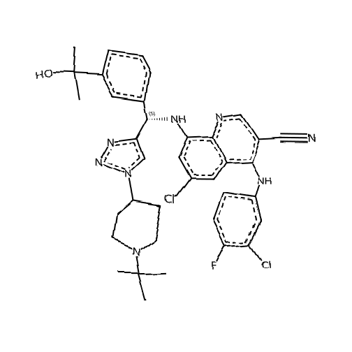 CC(C)(O)c1cccc([C@H](Nc2cc(Cl)cc3c(Nc4ccc(F)c(Cl)c4)c(C#N)cnc23)c2cn(C3CCN(C(C)(C)C)CC3)nn2)c1